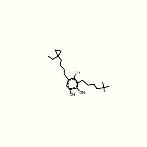 CCC1(CCCCc2cc(O)c(O)c(CCCCC(C)(C)C)c2O)CC1